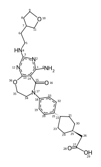 Nc1nc(NCCC2CCOC2)nc2c1C(=O)N(c1ccc([C@H]3CC[C@H](CC(=O)O)CC3)cc1)CCO2